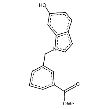 COC(=O)c1cccc(Cn2ccc3ccc(O)cc32)c1